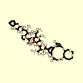 CC[C@H](C)C([C@@H](CC(=O)N1CCC[C@H]1[C@H](OC)[C@@H](C)C(=O)N[C@@H](Cc1ccccc1)C(=O)O)OC)N(C)C(=O)[C@@H](NC(=O)C(C(C)C)N(C)C(=O)c1cc2cc(c1)N1C(=O)CC(SC3CCCCCCCC(C3)SCCC(=O)N2)C1=O)C(C)C